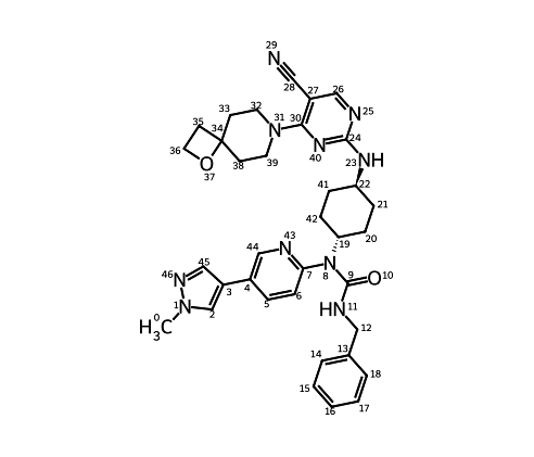 Cn1cc(-c2ccc(N(C(=O)NCc3ccccc3)[C@H]3CC[C@H](Nc4ncc(C#N)c(N5CCC6(CCO6)CC5)n4)CC3)nc2)cn1